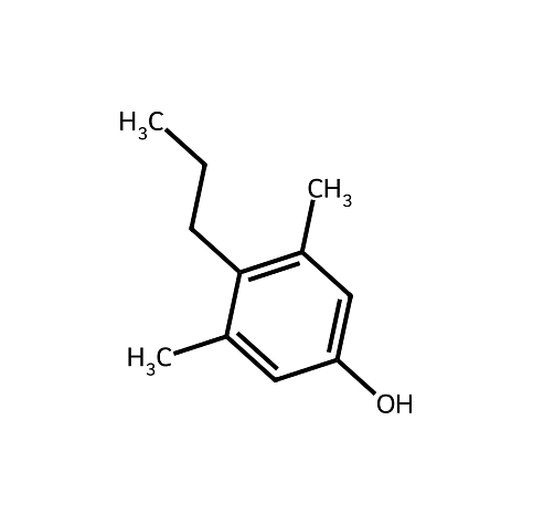 CCCc1c(C)cc(O)cc1C